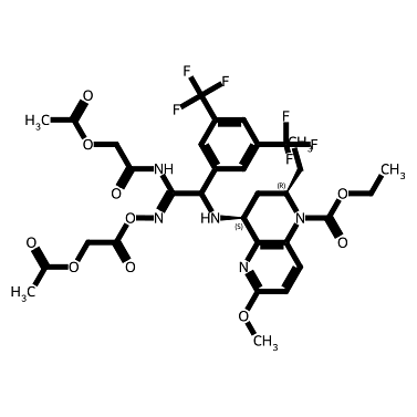 CCOC(=O)N1c2ccc(OC)nc2[C@@H](NC(C(=NOC(=O)COC(C)=O)NC(=O)COC(C)=O)c2cc(C(F)(F)F)cc(C(F)(F)F)c2)C[C@H]1CC